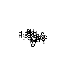 Bc1c(B)c(B)c(-c2cccc(-c3nc(-c4ccccc4)nc(N(C)c4ccccc4-c4ccc5c6ccccc6n(-c6ccccc6C6=CC=CCC6)c5c4)n3)c2)c(B)c1B